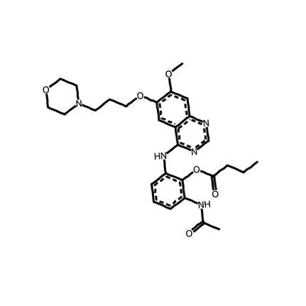 CCCC(=O)Oc1c(NC(C)=O)cccc1Nc1ncnc2cc(OC)c(OCCCN3CCOCC3)cc12